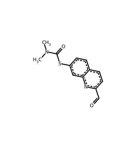 CN(C)C(=O)Sc1ccc2ccc(C=O)nc2c1